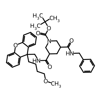 COCCCCC1(CNC(=O)C2CC(C(=O)NCc3ccccc3)CN(C(=O)OC(C)(C)C)C2)c2ccccc2Oc2ccccc21